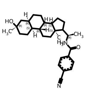 C[C@@H](NC(=O)c1ccc(C#N)cc1)C1CC[C@H]2[C@@H]3CC[C@@H]4C[C@](C)(O)CC[C@@H]4[C@H]3CC[C@]12C